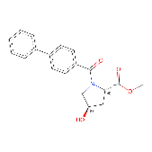 COC(=O)[C@@H]1C[C@@H](O)CN1C(=O)c1ccc(-c2ccccc2)cc1